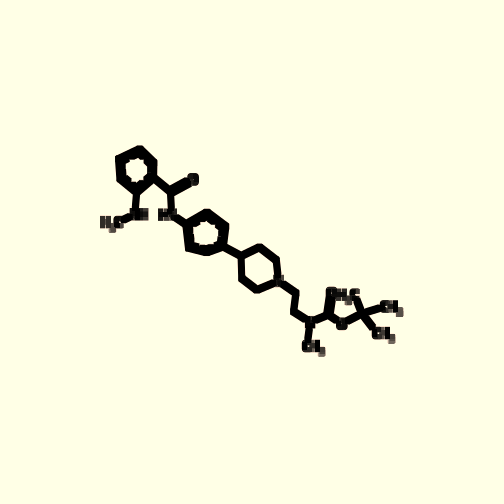 CNc1ccccc1C(=O)Nc1ccc(C2CCN(CCN(C)C(=O)OC(C)(C)C)CC2)cc1